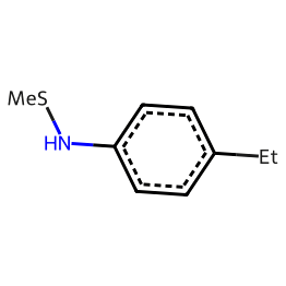 CCc1ccc(NSC)cc1